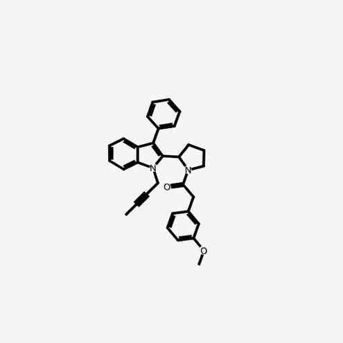 CC#CCn1c(C2CCCN2C(=O)Cc2cccc(OC)c2)c(-c2ccccc2)c2ccccc21